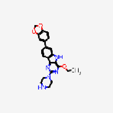 CCOc1nc(N2CCNCC2)nc2c1[nH]c1cc(-c3ccc4c(c3)OCO4)ccc12